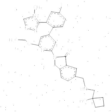 CCOc1cc(-c2ccc(F)cc2-c2nncn2C)cc(N2Cc3ccc(CNCC4(O)CCC4)cc3C2=O)n1